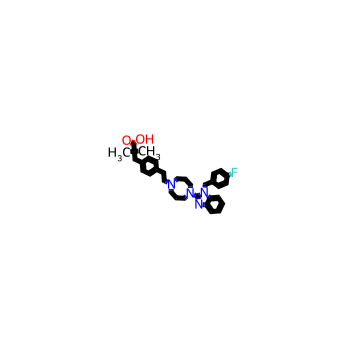 CC(C)(Cc1ccc(CCN2CCCN(c3nc4ccccc4n3Cc3ccc(F)cc3)CCC2)cc1)C(=O)O